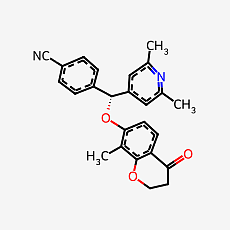 Cc1cc([C@H](Oc2ccc3c(c2C)OCCC3=O)c2ccc(C#N)cc2)cc(C)n1